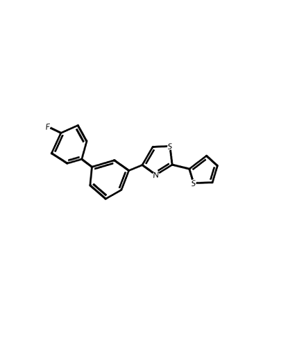 Fc1ccc(-c2cccc(-c3csc(-c4cccs4)n3)c2)cc1